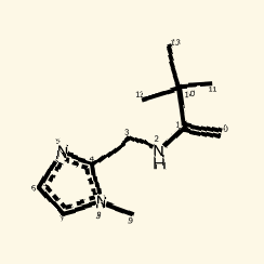 C=C(NCc1nccn1C)C(C)(C)C